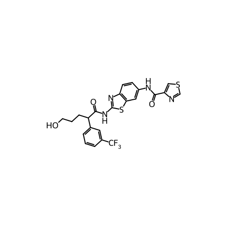 O=C(Nc1ccc2nc(NC(=O)C(CCCO)c3cccc(C(F)(F)F)c3)sc2c1)c1cscn1